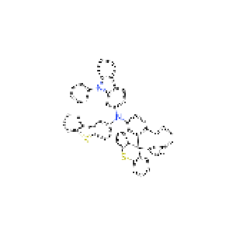 c1ccc(-n2c3ccccc3c3ccc(N(c4ccc5c(c4)C4(c6ccccc6Sc6ccccc64)c4cccc6cccc-5c46)c4ccc5sc6ccccc6c5c4)cc32)cc1